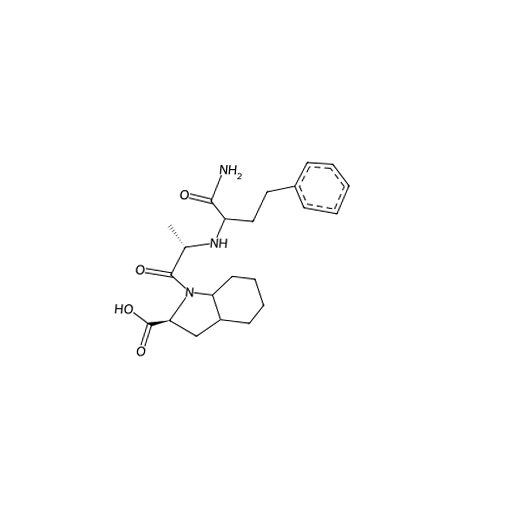 C[C@H](NC(CCc1ccccc1)C(N)=O)C(=O)N1C2CCCCC2C[C@H]1C(=O)O